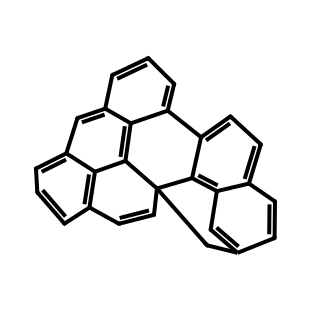 C1=CC23Cc4ccc5ccc(c2c5c4)-c2cccc4cc5cccc1c5c3c24